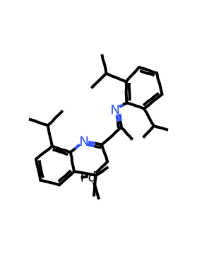 CC(=Nc1c(C(C)C)cccc1C(C)C)C([CH2][Pd]([CH3])[CH3])=Nc1c(C(C)C)cccc1C(C)C